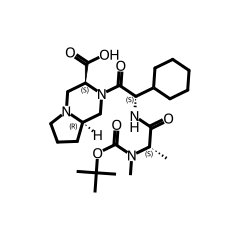 C[C@@H](C(=O)N[C@H](C(=O)N1C[C@H]2CCCN2C[C@H]1C(=O)O)C1CCCCC1)N(C)C(=O)OC(C)(C)C